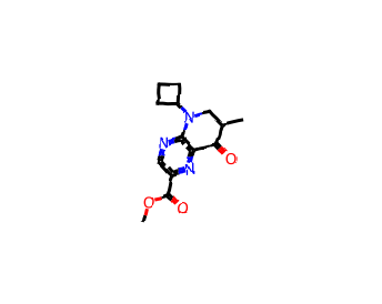 COC(=O)c1cnc2c(n1)C(=O)C(C)CN2C1CCC1